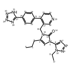 CCCc1cn(-c2nnnn2CC)c(=O)n1Cc1cnccc1-c1ccc(-c2nnn[nH]2)cc1